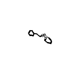 c1ccc(CCN[n+]2ccccc2)cc1